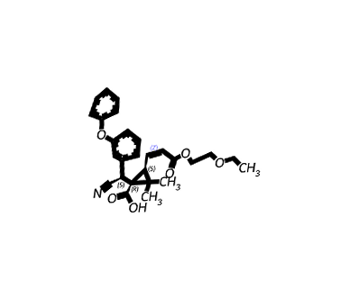 CCOCCOC(=O)/C=C\[C@H]1C(C)(C)[C@]1(C(=O)O)[C@@H](C#N)c1cccc(Oc2ccccc2)c1